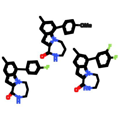 COc1ccc(-c2cc(C)cc3cc4n(c23)CCCNC4=O)cc1.Cc1cc(-c2ccc(F)c(F)c2)c2c(c1)cc1n2CCCNC1=O.Cc1cc(-c2ccc(F)cc2)c2c(c1)cc1n2CCCNC1=O